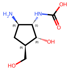 N[C@@H]1C[C@H](CO)[C@@H](O)[C@H]1NC(=O)O